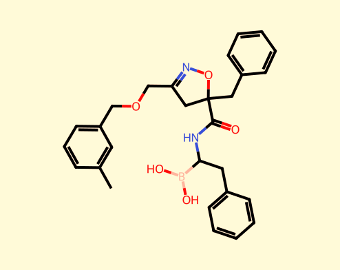 Cc1cccc(COCC2=NOC(Cc3ccccc3)(C(=O)NC(Cc3ccccc3)B(O)O)C2)c1